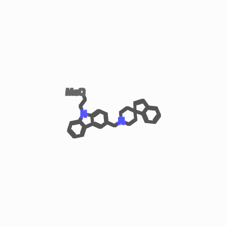 COCCn1c2ccccc2c2cc(CN3CCC4(C=Cc5ccccc54)CC3)ccc21